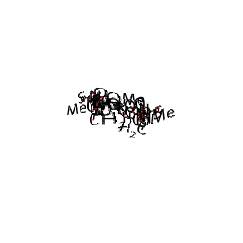 C=CCOC(=O)N1c2cc(OCc3cccc(COc4cc5c(cc4OC)C(=O)N4CC=C(c6ccsc6)C[C@H]4C(OC)N5C(O)OCC=C)n3)c(OC)cc2C(=O)N2CC=C(c3ccsc3)C[C@H]2C1OC